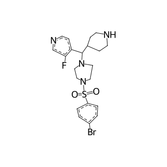 O=S(=O)(c1ccc(Br)cc1)N1CCN(C(c2ccncc2F)C2CCNCC2)CC1